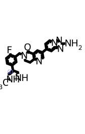 CN/C=C(\C=N)c1ccc(F)c(CN2CCc3ncc(-c4ccn5nc(N)nc5c4)cc3C2=O)c1